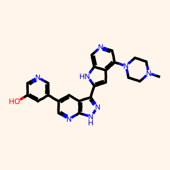 CN1CCN(c2cncc3[nH]c(-c4n[nH]c5ncc(-c6cncc(O)c6)cc45)cc23)CC1